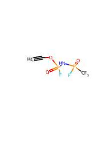 C#COP(=O)(F)NP(=O)(F)C(F)(F)F